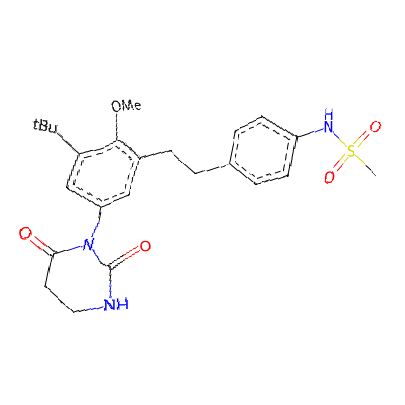 COc1c(CCc2ccc(NS(C)(=O)=O)cc2)cc(N2C(=O)CCNC2=O)cc1C(C)(C)C